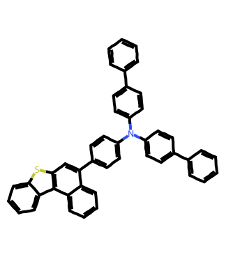 c1ccc(-c2ccc(N(c3ccc(-c4ccccc4)cc3)c3ccc(-c4cc5sc6ccccc6c5c5ccccc45)cc3)cc2)cc1